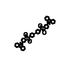 O=C1c2ccc(-n3c4ccccc4c4ccccc43)cc2C(=O)N1c1ccc(-c2ccc(N3C(=O)c4ccc(-n5c6ccccc6c6ccccc65)cc4C3=O)cc2)cc1